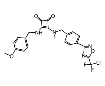 COc1ccc(CNc2c(N(C)Cc3ccc(-c4noc(C(F)(F)Cl)n4)cc3)c(=O)c2=O)cc1